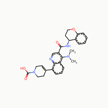 CN(C)c1c(C(=O)N[C@H]2CCOc3ccccc32)cnc2c(C3=CCN(C(=O)O)CC3)cccc12